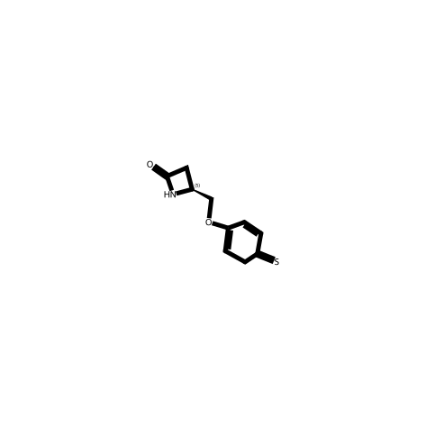 O=C1C[C@@H](COC2=CCC(=S)C=C2)N1